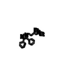 CCN(CC)CCCCn1cnc(-c2ccccc2)c1-c1ccccc1